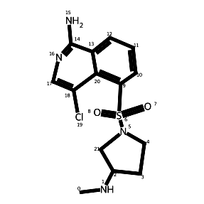 CNC1CCN(S(=O)(=O)c2cccc3c(N)ncc(Cl)c23)C1